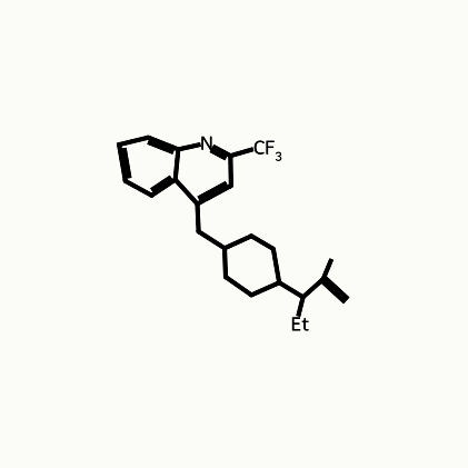 C=C(C)C(CC)C1CCC(Cc2cc(C(F)(F)F)nc3ccccc23)CC1